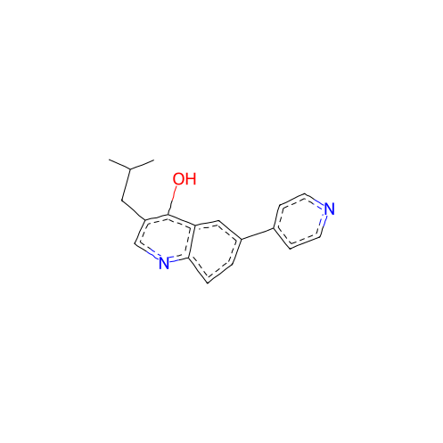 CC(C)Cc1cnc2ccc(-c3ccncc3)cc2c1O